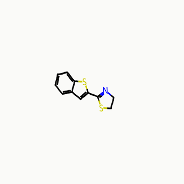 c1ccc2sc(C3=NCCS3)cc2c1